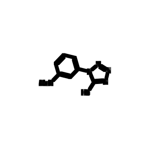 CNc1cccc(-n2nnnc2S)c1